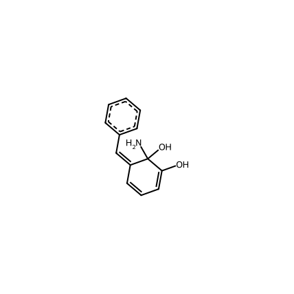 NC1(O)C(O)=CC=CC1=Cc1ccccc1